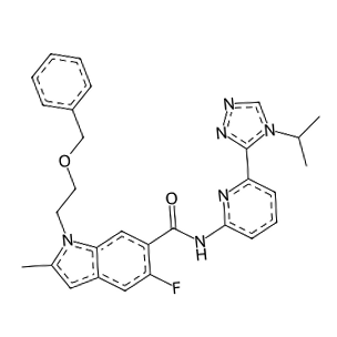 Cc1cc2cc(F)c(C(=O)Nc3cccc(-c4nncn4C(C)C)n3)cc2n1CCOCc1ccccc1